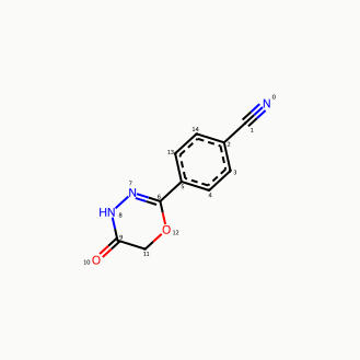 N#Cc1ccc(C2=NNC(=O)CO2)cc1